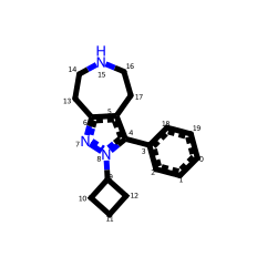 c1ccc(-c2c3c(nn2C2CCC2)CCNCC3)cc1